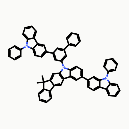 CC1(C)c2ccccc2-c2cc3c4cc(-c5ccc6c7ccccc7n(-c7ccccc7)c6c5)ccc4n(-c4cc(-c5ccccc5)cc(-c5ccc6c(c5)c5ccccc5n6-c5ccccc5)c4)c3cc21